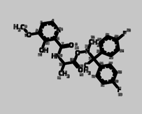 COc1ccnc(C(=O)NC(C)C(=O)ON(C)C(C)(c2ccc(F)cc2)c2ccc(F)cc2)c1O